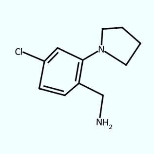 NCc1ccc(Cl)cc1N1CCCC1